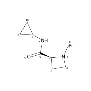 CC(C)N1CC[C@H]1C(=O)NC1CC1